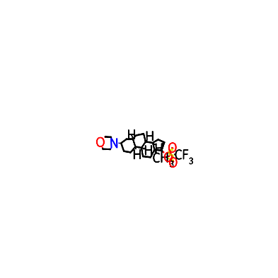 C[C@]12CC[C@H]3[C@@H](CC[C@H]4C[C@@H](N5CCOCC5)CC[C@@H]43)[C@@H]1CC=C2OS(=O)(=O)C(F)(F)F